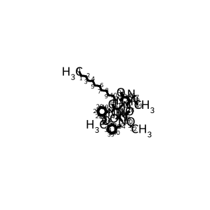 CCCCCCCCCCCCn1c(C(C(=O)Nc2ccccc2OC)N2C(=O)C(OCC)N(Cc3ccccc3)C2=O)nc2c(ncn2C)c1=O